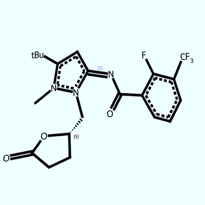 Cn1c(C(C)(C)C)c/c(=N/C(=O)c2cccc(C(F)(F)F)c2F)n1C[C@@H]1CCC(=O)O1